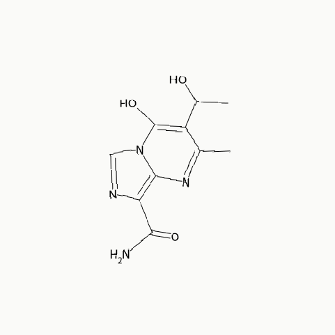 Cc1nc2c(C(N)=O)ncn2c(O)c1C(C)O